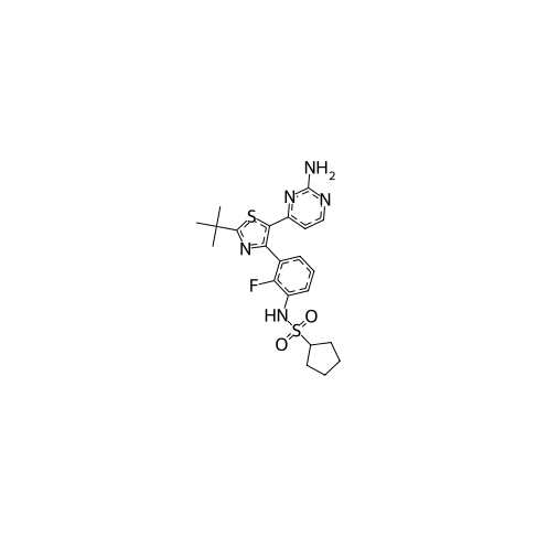 CC(C)(C)c1nc(-c2cccc(NS(=O)(=O)C3CCCC3)c2F)c(-c2ccnc(N)n2)s1